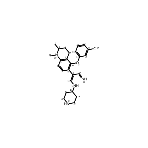 CC1CCc2c(ccc(/C(C=N)=C/NC3CCNCC3)c2Oc2cccc(Cl)c2)N1C